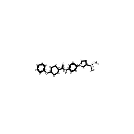 CC(=O)N(C)C1CCN(c2ccc(NC(=O)C3CCC(Oc4ccccc4)CC3)cc2)C1